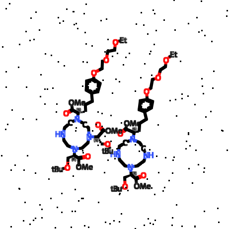 CCOCCOCCOc1ccc(CCC[C@@H](C(=O)OC)N2CCNCCN([C@H](COC(C)(C)C)C(=O)OC)CCN([C@@H](COC(C)(C)C)C(=O)OC)CC2)cc1.CCOCCOCCOc1ccc(CCC[C@@H](C(=O)OC)N2CCNCCN([C@H](COC(C)(C)C)C(=O)OC)CCNCC2)cc1